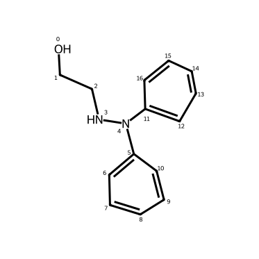 OCCNN(c1ccccc1)c1ccccc1